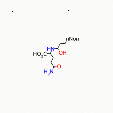 CCCCCCCCCCCC(O)N[C@@H](CCC(N)=O)C(=O)O